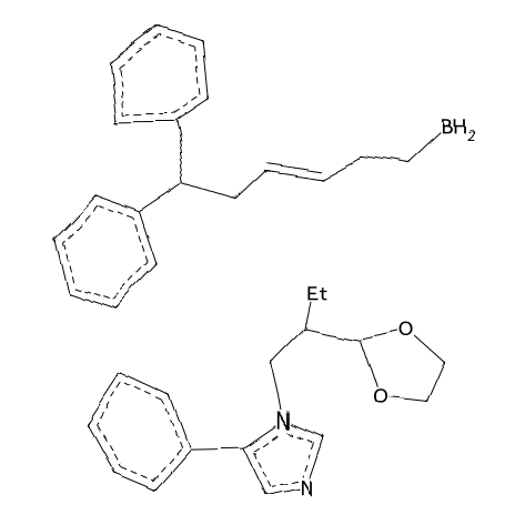 BCCC=CCC(c1ccccc1)c1ccccc1.CCC(Cn1cncc1-c1ccccc1)C1OCCO1